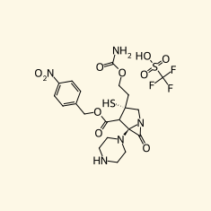 NC(=O)OCC[C@@]1(S)CN2C(=O)[C@]2(N2CCNCC2)C1C(=O)OCc1ccc([N+](=O)[O-])cc1.O=S(=O)(O)C(F)(F)F